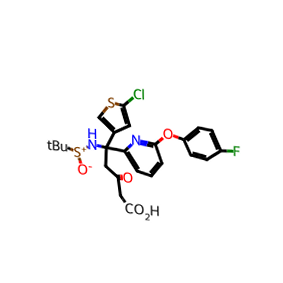 CC(C)(C)[S+]([O-])NC(CC(=O)CC(=O)O)(c1csc(Cl)c1)c1cccc(Oc2ccc(F)cc2)n1